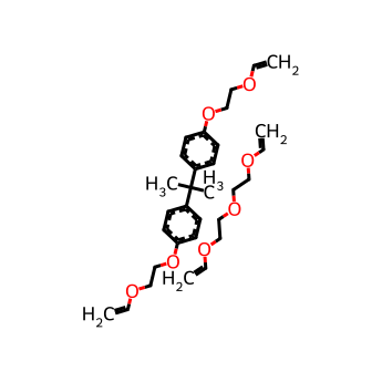 C=COCCOCCOC=C.C=COCCOc1ccc(C(C)(C)c2ccc(OCCOC=C)cc2)cc1